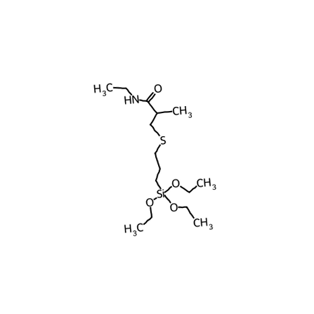 CCNC(=O)C(C)CSCCC[Si](OCC)(OCC)OCC